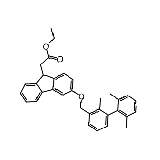 CCOC(=O)CC1c2ccccc2-c2cc(OCc3cccc(-c4c(C)cccc4C)c3C)ccc21